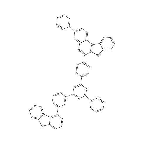 c1ccc(-c2ccc3c(c2)nc(-c2ccc(-c4cc(-c5cccc(-c6cccc7sc8ccccc8c67)c5)nc(-c5ccccc5)n4)cc2)c2oc4ccccc4c23)cc1